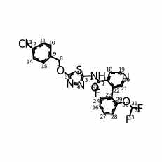 O=C(Nc1nnc(OCc2ccc(Cl)cc2)s1)c1ccncc1-c1c(F)cccc1OC(F)F